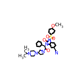 COc1ccc(S(=O)(=O)n2c(=O)n(C(C(=O)N3CC[C@@H](N4CCN(C(C)C)CC4)C3)c3ccccc3)c3cc(C#N)ccc32)cc1